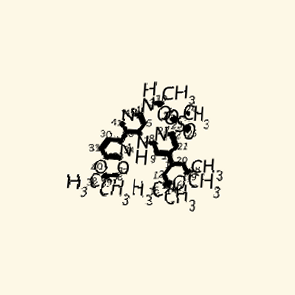 CC(=O)Nc1cc(Nc2cc(C3CC(C)(C)OC(C)(C)C3)cc(S(C)(=O)=O)n2)c(-c2ccc3c(n2)OCC(C)(C)O3)cn1